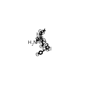 COc1ccc(COC(=O)C2=C(CCl)CS[C@H]3C(NC(=O)/C(=N/OC(C)(C)C(=O)OC(C)(C)C)N4C=C(N)SN4)C(=O)N23)cc1